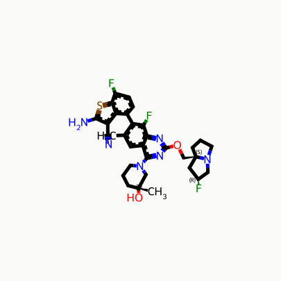 Cc1cc2c(N3CCC[C@@](C)(O)C3)nc(OC[C@@]34CCCN3C[C@H](F)C4)nc2c(F)c1-c1ccc(F)c2sc(N)c(C#N)c12